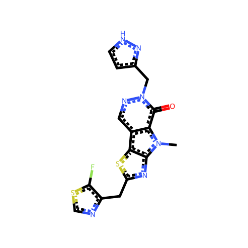 Cn1c2nc(Cc3ncsc3F)sc2c2cnn(Cc3cc[nH]n3)c(=O)c21